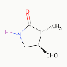 C[C@H]1C(=O)N(I)C[C@@H]1C=O